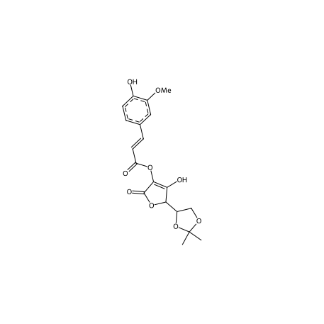 COc1cc(C=CC(=O)OC2=C(O)C(C3COC(C)(C)O3)OC2=O)ccc1O